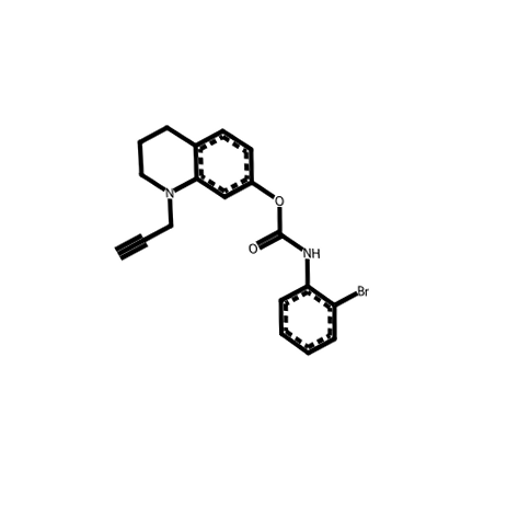 C#CCN1CCCc2ccc(OC(=O)Nc3ccccc3Br)cc21